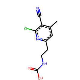 Cc1cc(CCNC(=O)O)nc(Cl)c1C#N